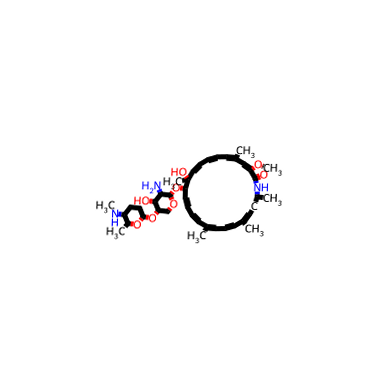 CNC1CCC(OC2COC(OC3C=CC=CC(C)=CC=CC(C)=CCC(C)NC(=O)C(OC)=CC(C)=CC=CC=CC3(C)O)C(N)C2O)OC1C